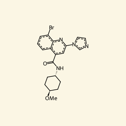 CO[C@H]1CC[C@H](NC(=O)c2cc(-n3ccnc3)nc3c(Br)cccc23)CC1